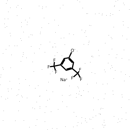 [Na+].[O-]c1cc(C(F)(F)F)cc(C(F)(F)F)c1